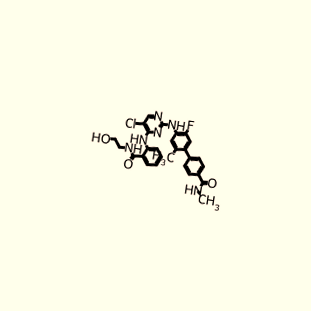 CNC(=O)c1ccc(-c2cc(F)c(Nc3ncc(Cl)c(Nc4ccccc4C(=O)NCCO)n3)cc2C)cc1